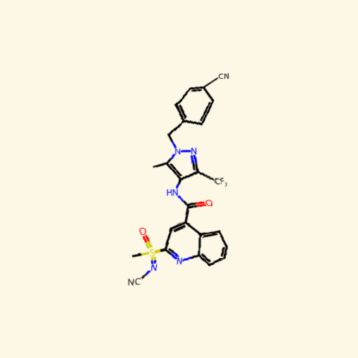 Cc1c(NC(=O)c2cc(S(C)(=O)=NC#N)nc3ccccc23)c(C(F)(F)F)nn1Cc1ccc(C#N)cc1